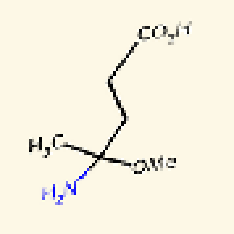 COC(C)(N)CCC(=O)O